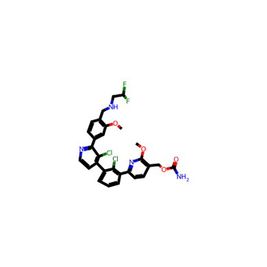 COc1cc(-c2nccc(-c3cccc(-c4ccc(COC(N)=O)c(OC)n4)c3Cl)c2Cl)ccc1CNCC(F)F